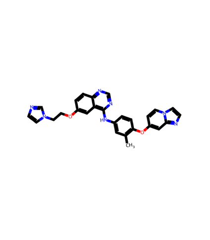 Cc1cc(Nc2ncnc3ccc(OCCn4ccnc4)cc23)ccc1Oc1ccn2ccnc2c1